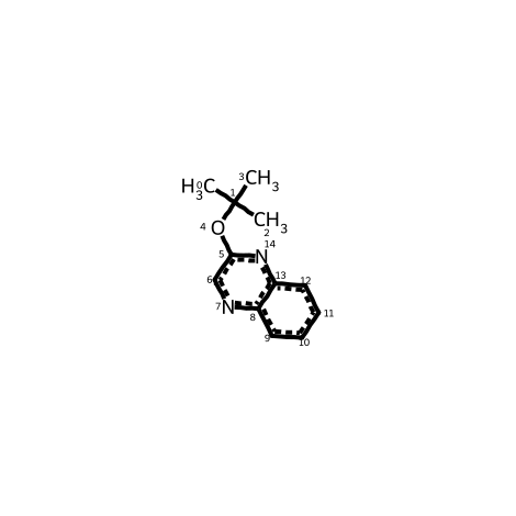 CC(C)(C)Oc1[c]nc2ccccc2n1